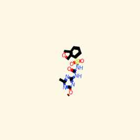 COc1nc(C)nc(NC(=O)NS(=O)(=O)c2cccc3c2COC3)n1